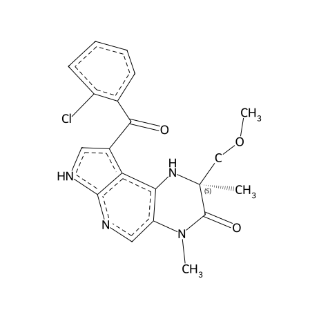 COC[C@]1(C)Nc2c(cnc3[nH]cc(C(=O)c4ccccc4Cl)c23)N(C)C1=O